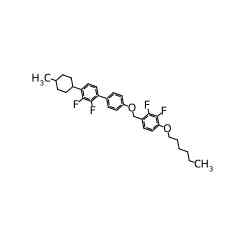 CCCCCCOc1ccc(COc2ccc(-c3ccc(C4CCC(C)CC4)c(F)c3F)cc2)c(F)c1F